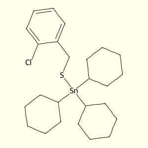 Clc1ccccc1C[S][Sn]([CH]1CCCCC1)([CH]1CCCCC1)[CH]1CCCCC1